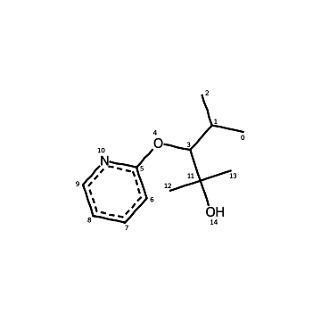 CC(C)C(Oc1ccccn1)C(C)(C)O